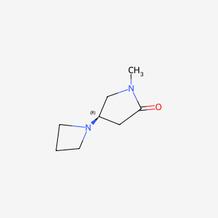 CN1C[C@H](N2CCC2)CC1=O